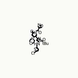 CC(C)(C)C(=O)n1nc(-c2cn(CC(=O)c3cnoc3)c(=O)cc2N2CCOCC2)cc1NCc1ccc(Cl)s1